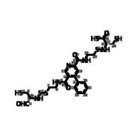 O=C[C@H](CS)NSSCCNC(=O)c1cnc(C(=O)NCCSN[C@@H](CS)C(=O)S)cc1-c1ccccc1